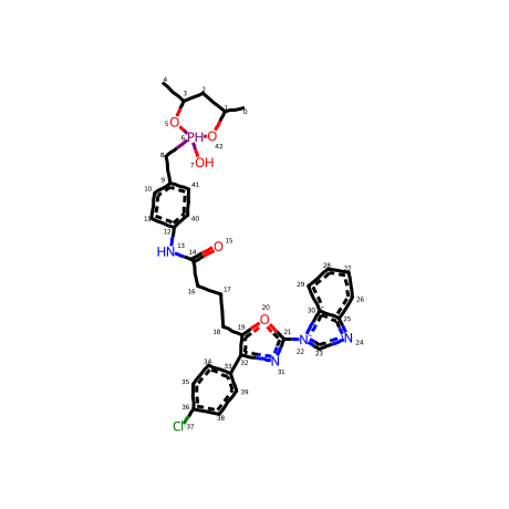 CC1CC(C)O[PH](O)(Cc2ccc(NC(=O)CCCc3oc(-n4cnc5ccccc54)nc3-c3ccc(Cl)cc3)cc2)O1